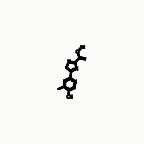 C=C(OCC)C1=NCC(c2cc(C)c(C#N)cn2)=N1